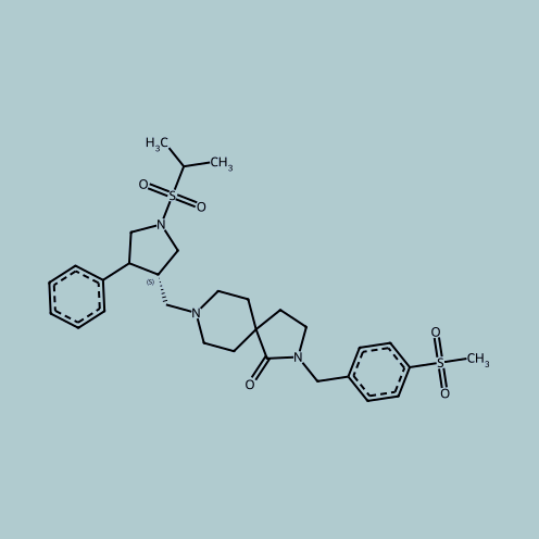 CC(C)S(=O)(=O)N1CC(c2ccccc2)[C@@H](CN2CCC3(CC2)CCN(Cc2ccc(S(C)(=O)=O)cc2)C3=O)C1